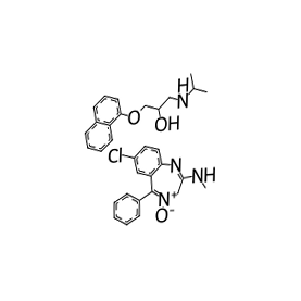 CC(C)NCC(O)COc1cccc2ccccc12.CNC1=Nc2ccc(Cl)cc2C(c2ccccc2)=[N+]([O-])C1